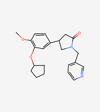 COc1ccc(C2CC(=O)N(Cc3cccnc3)C2)cc1OC1CCCC1